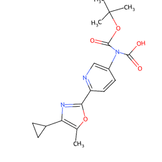 Cc1oc(-c2ccc(N(C(=O)O)C(=O)OC(C)(C)C)cn2)nc1C1CC1